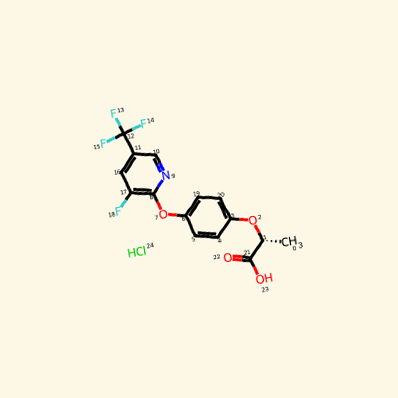 C[C@@H](Oc1ccc(Oc2ncc(C(F)(F)F)cc2F)cc1)C(=O)O.Cl